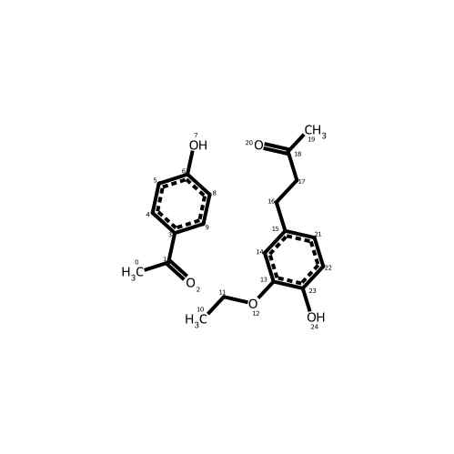 CC(=O)c1ccc(O)cc1.CCOc1cc(CCC(C)=O)ccc1O